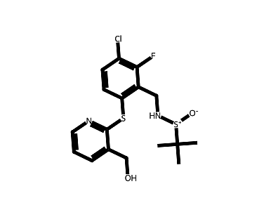 CC(C)(C)[S+]([O-])NCc1c(Sc2ncccc2CO)ccc(Cl)c1F